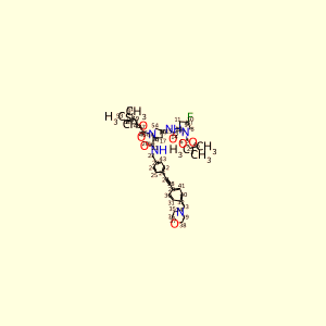 CC(C)(C)OC(=O)N1C[C@@H](F)C[C@H]1C(=O)N[C@@H]1C[C@H](C(=O)NCc2ccc(C#Cc3ccc(CN4CCOCC4)cc3)cc2)N(C(=O)OCC[Si](C)(C)C)C1